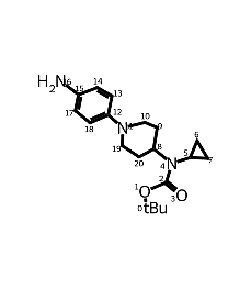 CC(C)(C)OC(=O)N(C1CC1)C1CCN(c2ccc(N)cc2)CC1